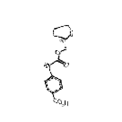 O=C(Nc1ccc(C(=O)O)cc1)OC[C@@H]1CCCO1